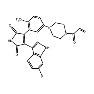 C=CC(=O)N1CCN(c2ccc(C(F)(F)F)c(C3=C(c4c[nH]c5cc(F)ccc45)C(=O)NC3=O)c2)CC1